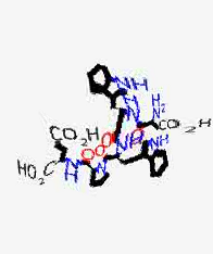 N[C@@H](CC(=O)O)C(=O)N[C@@H](Cc1c[nH]c2ccccc12)C(=O)N[C@@H](Cc1c[nH]c2ccccc12)C(=O)N1CCC[C@H]1C(=O)N[C@@H](CCC(=O)O)C(=O)O